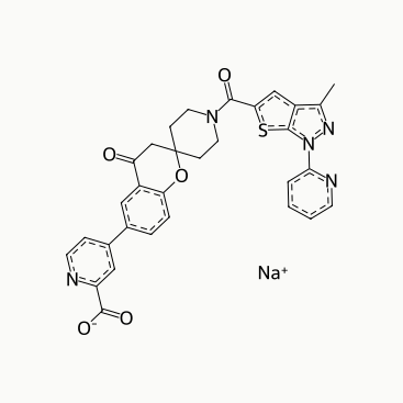 Cc1nn(-c2ccccn2)c2sc(C(=O)N3CCC4(CC3)CC(=O)c3cc(-c5ccnc(C(=O)[O-])c5)ccc3O4)cc12.[Na+]